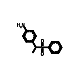 CC(c1ccc(N)cc1)S(=O)(=O)c1ccccc1